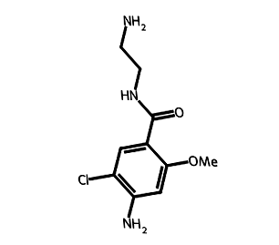 COc1cc(N)c(Cl)cc1C(=O)NCCN